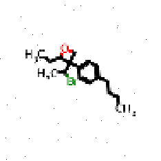 CCCCc1ccc(C2(C(C)Br)COC2CC)cc1